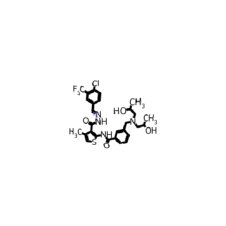 Cc1csc(NC(=O)c2cccc(CN(CC(C)O)CC(C)O)c2)c1C(=O)N/N=C/c1ccc(Cl)c(C(F)(F)F)c1